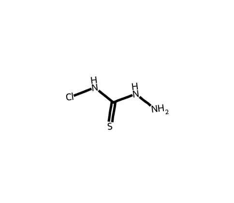 NNC(=S)NCl